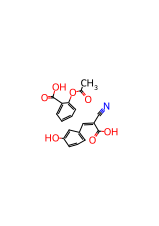 CC(=O)Oc1ccccc1C(=O)O.N#CC(=Cc1cccc(O)c1)C(=O)O